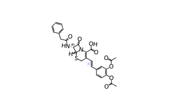 CC(=O)Oc1ccc(/C=C/C2=C(C(=O)O)N3C(=O)[C@@H](NC(=O)Cc4ccccc4)[C@H]3SC2)cc1OC(C)=O